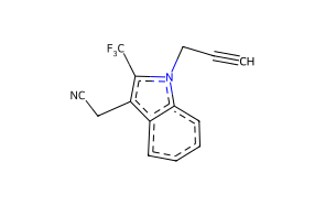 C#CCn1c(C(F)(F)F)c(CC#N)c2ccccc21